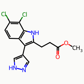 COC(=O)CCc1[nH]c2c(Cl)c(Cl)ccc2c1-c1cn[nH]c1